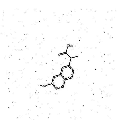 COC(=O)C(C)c1ccc2ccc(OC)cc2c1